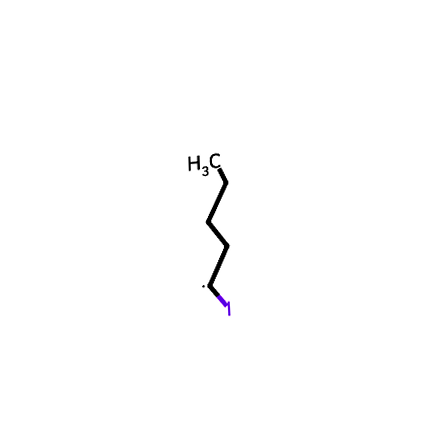 CCCC[CH]I